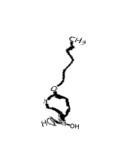 CCCCCCOc1ccc(B(O)O)cn1